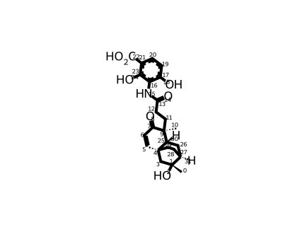 C[C@@]1(O)C[C@@]23C=CC(=O)[C@@](C)(CCC(=O)Nc4c(O)ccc(C(=O)O)c4O)[C@@H]2C[C@@H]1CC3